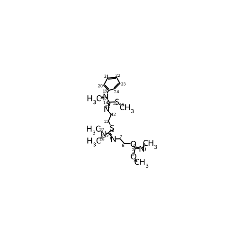 C/N=C(/OC)OCC/N=C(\SCC/N=C(\SC)N(C)c1ccccc1)N(C)C